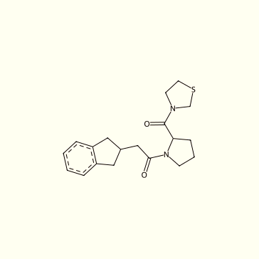 O=C(C1CCCN1C(=O)CC1Cc2ccccc2C1)N1CCSC1